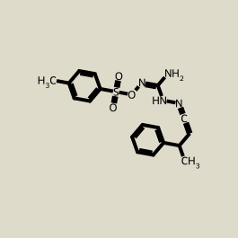 Cc1ccc(S(=O)(=O)ON=C(N)NN=C=CC(C)c2ccccc2)cc1